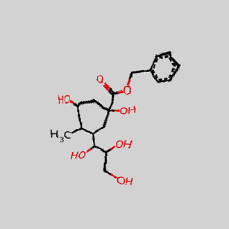 CC1C(O)CC(O)(C(=O)OCc2ccccc2)CC1C(O)C(O)CO